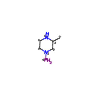 CC1CN(P)CCN1